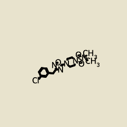 CN(C)S(=O)(=O)N1CCN(c2nc(Cc3cccc(Cl)c3)no2)CC1